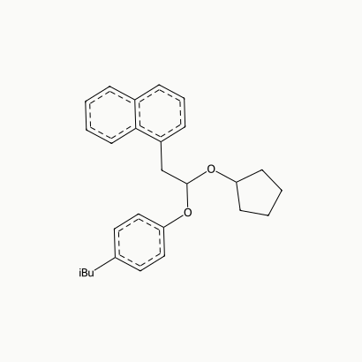 CCC(C)c1ccc(OC(Cc2cccc3ccccc23)OC2CCCC2)cc1